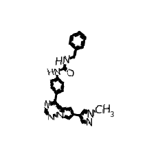 Cn1cc(-c2cc3c(-c4ccc(NC(=O)NCc5ccccc5)cc4)ncnn3c2)cn1